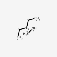 BO.CCSCC